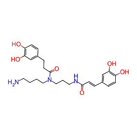 NCCCCN(CCCNC(=O)C=Cc1ccc(O)c(O)c1)C(=O)CCc1ccc(O)c(O)c1